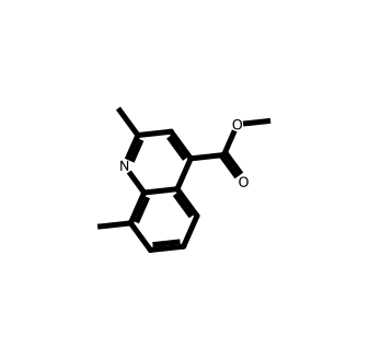 COC(=O)c1cc(C)nc2c(C)cccc12